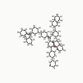 c1ccc(-c2ccc(-c3ccc(N(c4ccc(-c5cccc(-n6c7ccccc7c7ccccc76)c5)cc4)c4cc(-c5ccc6ccccc6c5)ccc4-c4ccc5ccccc5c4)cc3)cc2)cc1